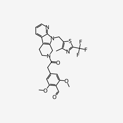 COc1cc(CC(=O)N2CCc3c(n(Cc4sc(C(F)(F)F)nc4C)c4ncccc34)C2)cc(OC)c1C=O